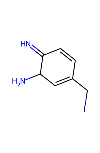 N=C1C=CC(CI)=CC1N